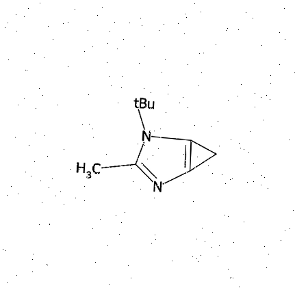 Cc1nc2c(n1C(C)(C)C)C2